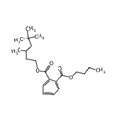 CCCCOC(=O)c1ccccc1C(=O)OCCC(C)CC(C)(C)C